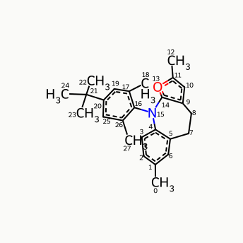 Cc1ccc2c(c1)CCc1cc(C)oc1N2c1c(C)cc(C(C)(C)C)cc1C